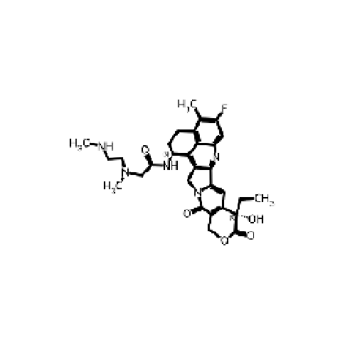 CC[C@@]1(O)C(=O)OCc2c1cc1n(c2=O)Cc2c-1nc1cc(F)c(C)c3c1c2[C@@H](NC(=O)CN(C)CCNC)CC3